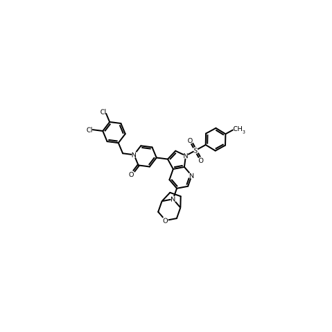 Cc1ccc(S(=O)(=O)n2cc(-c3ccn(Cc4ccc(Cl)c(Cl)c4)c(=O)c3)c3cc(N4C5CCC4COC5)cnc32)cc1